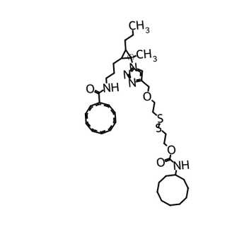 CCCC1C(CCCNC(=O)c2ccccccccc2)[C@@]1(C)n1cc(COCCSSCCOC(=O)NC2CCCCCCCCC2)nn1